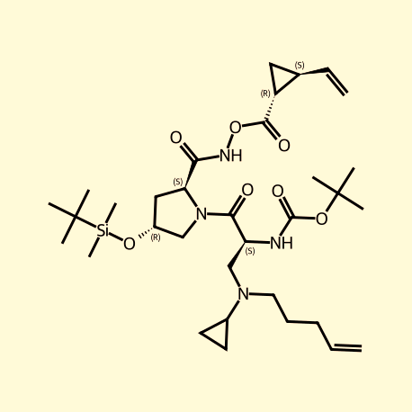 C=CCCCN(C[C@H](NC(=O)OC(C)(C)C)C(=O)N1C[C@H](O[Si](C)(C)C(C)(C)C)C[C@H]1C(=O)NOC(=O)[C@@H]1C[C@H]1C=C)C1CC1